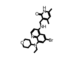 CCN(c1cc(Br)cc2c(NCc3c(C)cc(C)[nH]c3=O)ccnc12)C1CCOCC1